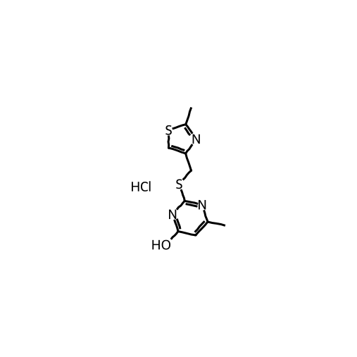 Cc1cc(O)nc(SCc2csc(C)n2)n1.Cl